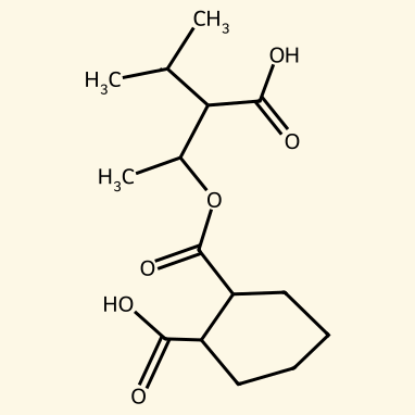 C[C](C)C(C(=O)O)C(C)OC(=O)C1CCCCC1C(=O)O